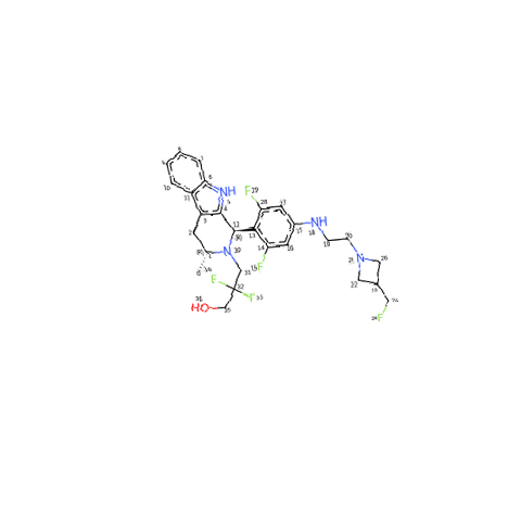 C[C@@H]1Cc2c([nH]c3ccccc23)[C@@H](c2c(F)cc(NCCN3CC(CF)C3)cc2F)N1CC(F)(F)CO